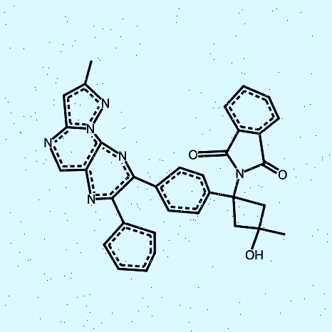 Cc1cc2ncc3nc(-c4ccccc4)c(-c4ccc(C5(N6C(=O)c7ccccc7C6=O)CC(C)(O)C5)cc4)nc3n2n1